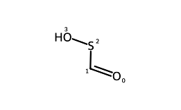 O=CSO